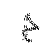 CCBC(=O)N(CCOCCOCCOCCOCCC(=O)NCCC(C)(C)OCCC(C)(C)C=O)CCOCCOCCOCCOCCC(=O)NCCC(C)(C)OCCC(C)(C)C(=O)NCCC(C)(C)OCC(C)(C)NC(=O)CNCC(C)(C)CC